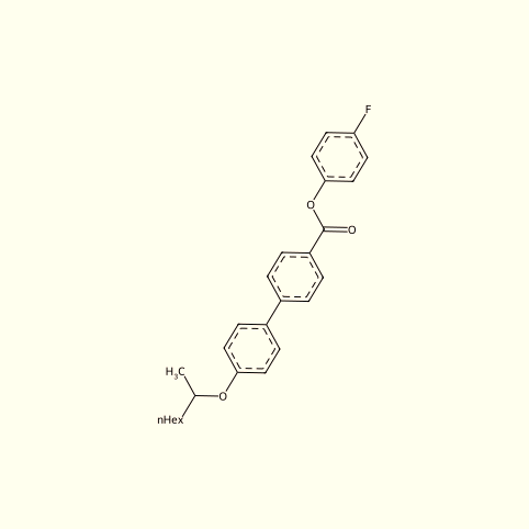 CCCCCCC(C)Oc1ccc(-c2ccc(C(=O)Oc3ccc(F)cc3)cc2)cc1